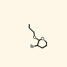 CCCOC1OCCCC1Br